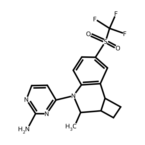 CC1C2CCC2c2cc(S(=O)(=O)C(F)(F)F)ccc2N1c1ccnc(N)n1